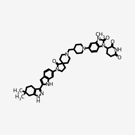 Cn1c(=O)n(C2CCC(=O)NC2=O)c2ccc(N3CCC(CN4CCC5(CC4)CCN(c4ccc6cc(-c7n[nH]c8c7CCC(C)(C)C8)[nH]c6c4)C5=O)CC3)cc21